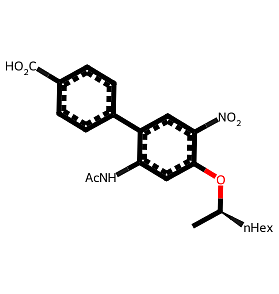 CCCCCC[C@@H](C)Oc1cc(NC(C)=O)c(-c2ccc(C(=O)O)cc2)cc1[N+](=O)[O-]